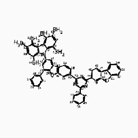 Bc1cc(B)c2c(c1B)c1c(B)c(B)cc(B)c1n2-c1cc(-c2ccccc2)c2oc3cc(-c4nc(-c5ccccc5)nc(-c5ccc6c(c5)oc5ccccc56)n4)ccc3c2c1